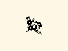 Cc1nc(C(=O)N2C(CNC(=O)c3cccc4c3OCCO4)CC3C[C@@H]32)c(-c2cccc(Cl)c2)s1